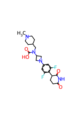 CN1CCC(CN(C(=O)O)C2CN(c3cc(F)c(C4CCC(=O)NC4=O)c(F)c3)C2)CC1